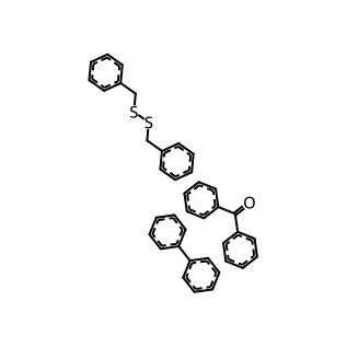 O=C(c1ccccc1)c1ccccc1.c1ccc(-c2ccccc2)cc1.c1ccc(CSSCc2ccccc2)cc1